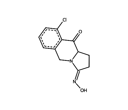 O=C1c2c(Cl)cccc2CN2C(=NO)CCC12